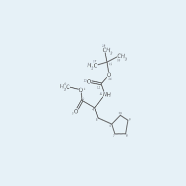 COC(=O)C(CC1CCCC1)NC(=O)OC(C)(C)C